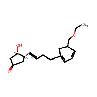 CCOCC1C=CC=C(CC/C=C/[C@@H]2CC(=O)C[C@H]2O)C1